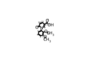 COc1cccc(-n2cc(C(=O)O)ccc2=O)c1OC